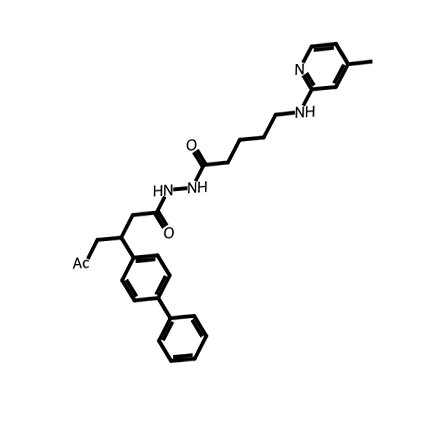 CC(=O)CC(CC(=O)NNC(=O)CCCCNc1cc(C)ccn1)c1ccc(-c2ccccc2)cc1